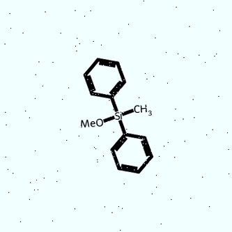 CO[Si](C)(c1ccccc1)c1ccccc1